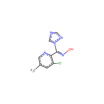 O/N=C(/c1ncc(C(F)(F)F)cc1Cl)n1cncn1